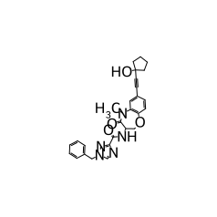 CN1C(=O)C(NC(=O)c2ncn(Cc3ccccc3)n2)COc2ccc(C#CC3(O)CCCC3)cc21